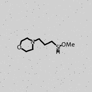 CO[SiH](C)CCCN1CCOCC1